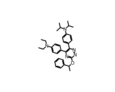 CCN(CC)c1ccc(-c2nc(OC(C)c3ccccc3)nnc2-c2ccc(N(C(C)C)C(C)C)cc2)cc1